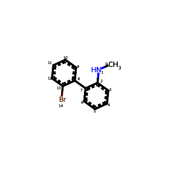 CNc1ccccc1-c1ccccc1Br